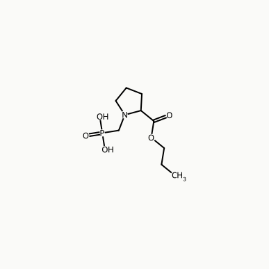 CCCOC(=O)C1CCCN1CP(=O)(O)O